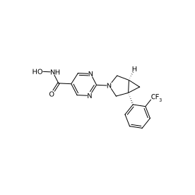 O=C(NO)c1cnc(N2C[C@H]3C[C@@]3(c3ccccc3C(F)(F)F)C2)nc1